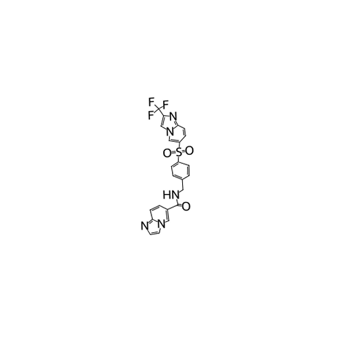 O=C(NCc1ccc(S(=O)(=O)c2ccc3nc(C(F)(F)F)cn3c2)cc1)c1ccc2nccn2c1